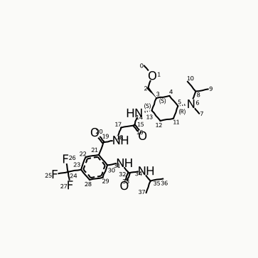 COC[C@H]1C[C@H](N(C)C(C)C)CC[C@@H]1NC(=O)CNC(=O)c1cc(C(F)(F)F)ccc1NC(=O)NC(C)C